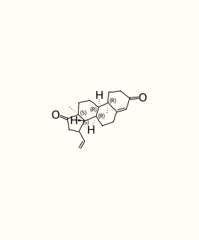 C=CC1CC(=O)[C@@]2(C)CC[C@@H]3[C@@H](CCC4=CC(=O)CC[C@@]43C)[C@H]12